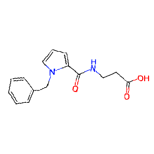 O=C(O)CCNC(=O)c1cccn1Cc1ccccc1